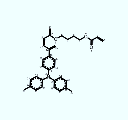 C=CC(=O)OCCCCOC(=C)/C=C\C(=C)c1ccc(N(c2ccc(C)cc2)c2ccc(C)cc2)cc1